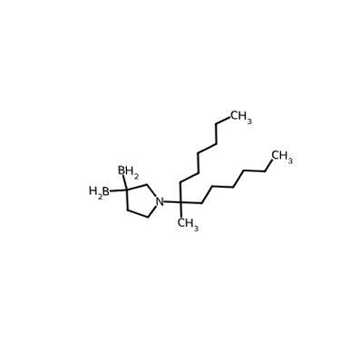 BC1(B)CCN(C(C)(CCCCCC)CCCCCC)C1